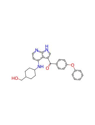 O=C(c1ccc(Oc2ccccc2)cc1)c1c[nH]c2nccc(NC3CCC(CO)CC3)c12